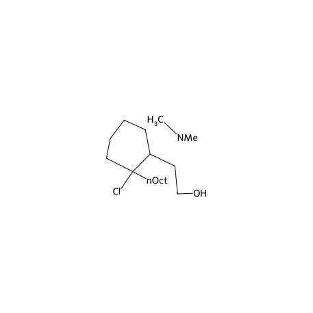 CCCCCCCCC1(Cl)CCCCC1CCO.CNC